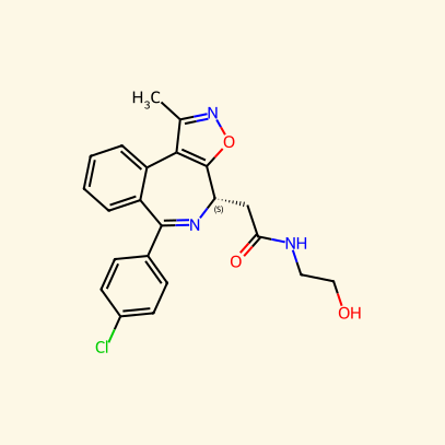 Cc1noc2c1-c1ccccc1C(c1ccc(Cl)cc1)=N[C@H]2CC(=O)NCCO